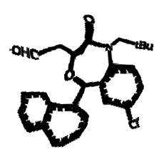 CC(C)(C)CN1C(=O)C(C[C]=O)OC(c2cccc3ccccc23)c2cc(Cl)ccc21